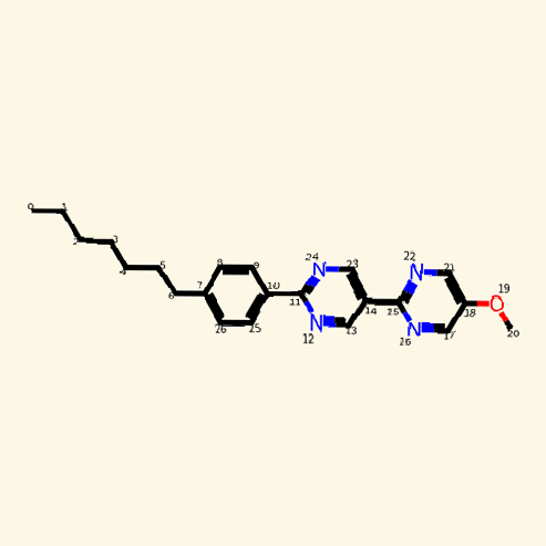 CCCCCCCc1ccc(-c2ncc(-c3ncc(OC)cn3)cn2)cc1